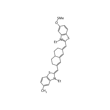 CCN1/C(=C/C2=CC3=C/C(=C/c4sc5ccc(OSC)cc5[n+]4CC)CCC3CC2)Sc2ccc(C)cc21